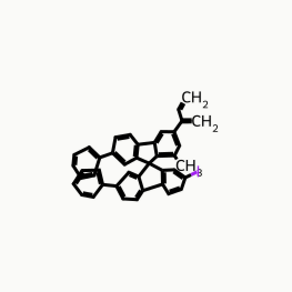 C=CC(=C)c1cc(C)c2c(c1)-c1ccc(-c3ccccc3)cc1C21c2cc(I)ccc2-c2ccc(-c3ccccc3)cc21